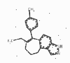 Cc1ccc(C2=C(CC(F)(F)F)CCCc3c2ccc2[nH]ncc32)cc1